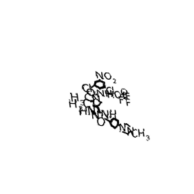 CN1CCN(c2ccc(C(=O)Nc3n[nH]c4c3CN(C(=O)Nc3c(Cl)cc([N+](=O)[O-])cc3Cl)C4(C)C)cc2)CC1.O=C(O)C(F)(F)F